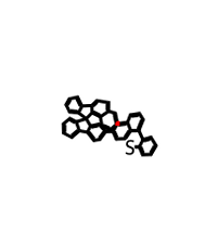 c1ccc2c(c1)Sc1cc(-c3ccc4c(c3)C3(c5ccccc5-4)c4ccccc4-c4ccc5ccccc5c43)cc3cccc-2c13